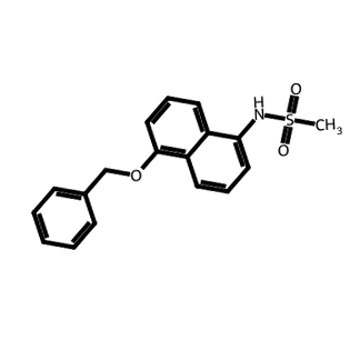 CS(=O)(=O)Nc1cccc2c(OCc3ccccc3)cccc12